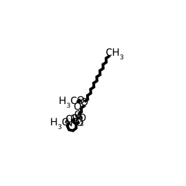 CCCCCCCCCCCCCCCCOCC(COP1(=O)OC2CCCC[N+](C)(C)C2O1)OC(C)=O